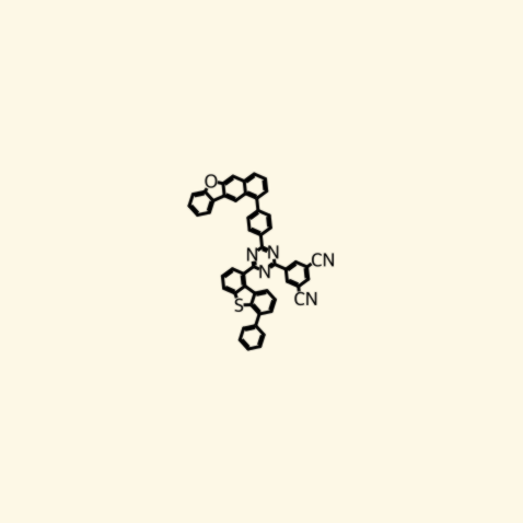 N#Cc1cc(C#N)cc(-c2nc(-c3ccc(-c4cccc5cc6oc7ccccc7c6cc45)cc3)nc(-c3cccc4sc5c(-c6ccccc6)cccc5c34)n2)c1